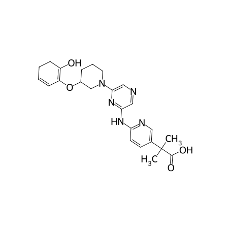 CC(C)(C(=O)O)c1ccc(Nc2cncc(N3CCCC(OC4=C(O)CCC=C4)C3)n2)nc1